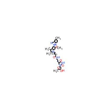 COc1cc2c(cc1/N=N/c1ccc(C)cc1C#N)C(C)=CC(C)(C)N2CCCC(=O)NC/C=C/c1cn([C@H]2CC(O)[C@@H](C)O2)c(=O)[nH]c1=O